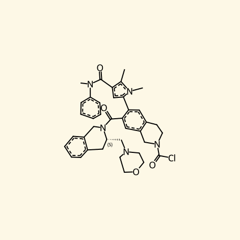 Cc1c(C(=O)N(C)c2ccccc2)cc(-c2cc3c(cc2C(=O)N2Cc4ccccc4C[C@H]2CN2CCOCC2)CN(C(=O)Cl)CC3)n1C